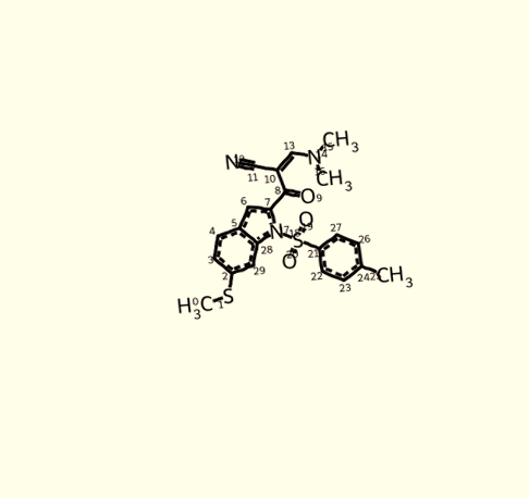 CSc1ccc2cc(C(=O)/C(C#N)=C\N(C)C)n(S(=O)(=O)c3ccc(C)cc3)c2c1